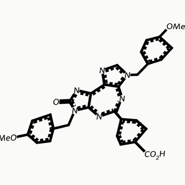 COc1ccc(Cn2c3nc(-c4ccc(C(=O)O)cc4)nc4c(ncn4Cc4ccc(OC)cc4)c-3nc2=O)cc1